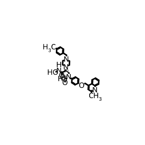 Cc1ccc(CN2CCN([C@@H](CN(c3ccc(OCc4cc(C)nc5ccccc45)cc3)[SH](=O)=O)C(=O)NO)CC2)cc1